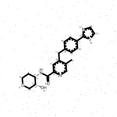 Cc1cnc(C(=O)N[C@H]2CCOC[C@H]2O)cc1Cc1ccc(-c2nccs2)cc1